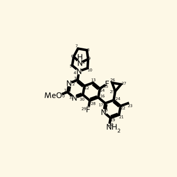 COc1nc(N2CC3CCC(C2)N3)c2cc(F)c(-c3nc(N)cc(C)c3C3CC3)c(F)c2n1